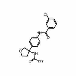 CCCC(=O)NC1(c2ccc(NC(=O)c3cccc(Cl)c3)cc2)CCOC1